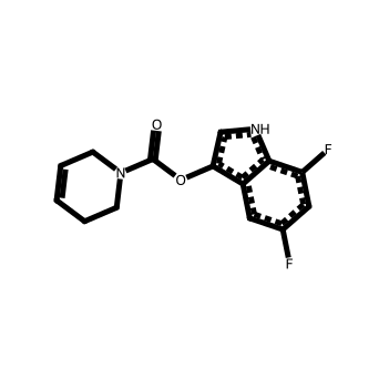 O=C(Oc1c[nH]c2c(F)cc(F)cc12)N1CC=CCC1